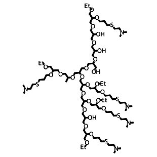 CCOCC(COCC(O)COCC(O)COC(CO)COCC(COC(C)COCC(COCC)OCCCSCCN(C)C)OCC(COCC(COCC(O)COCC(COCC)OCCCSCCN(C)C)OCC(COCCCSCCN(C)C)OCC)OCC(COCCCSCCN(C)C)OCC)OCCCSCCN(C)C